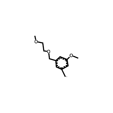 [CH2]c1cc(COCCOC)cc(OC)c1